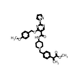 C=C(C(=O)OC)c1ccc(CN2CCC(NC(=O)c3cnc(-n4cccn4)nc3OCc3ccc(OC)cc3)CC2)cc1